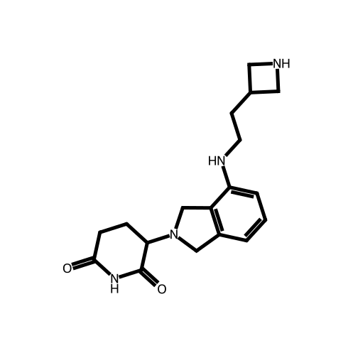 O=C1CCC(N2Cc3cccc(NCCC4CNC4)c3C2)C(=O)N1